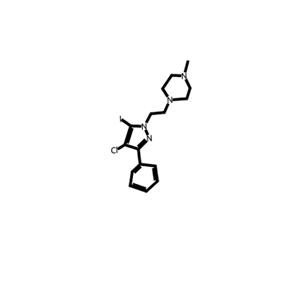 CN1CCN(CCn2nc(-c3ccccc3)c(Cl)c2I)CC1